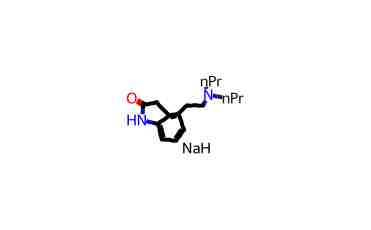 CCCN(CCC)CCc1cccc2c1CC(=O)N2.[NaH]